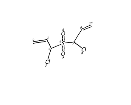 C=CC(Cl)S(=O)(=O)C(Cl)C=C